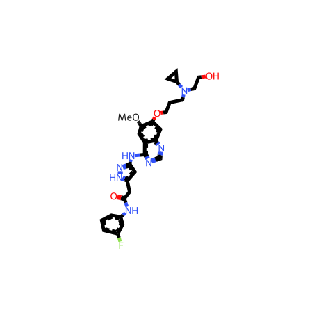 COc1cc2c(Nc3cc(CC(=O)Nc4cccc(F)c4)[nH]n3)ncnc2cc1OCCCN(CCO)C1CC1